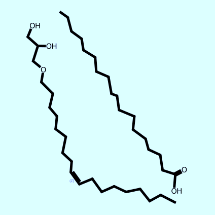 CCCCCCCC/C=C\CCCCCCCCOCC(O)CO.CCCCCCCCCCCCCCCCCC(=O)O